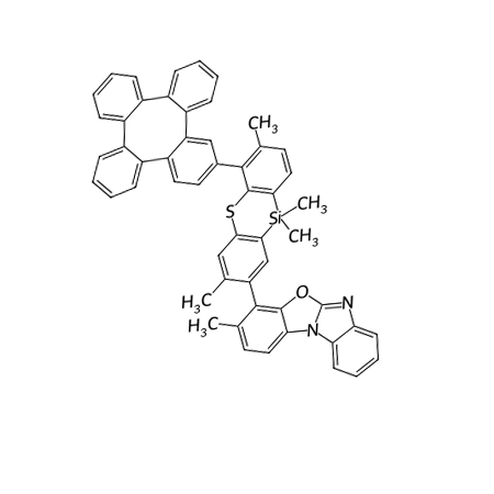 Cc1cc2c(cc1-c1c(C)ccc3c1oc1nc4ccccc4n13)[Si](C)(C)c1ccc(C)c(-c3ccc4c(c3)-c3ccccc3-c3ccccc3-c3ccccc3-4)c1S2